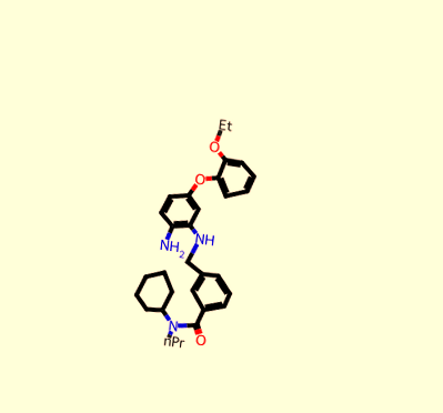 CCCN(C(=O)c1cccc(CNc2cc(Oc3ccccc3OCC)ccc2N)c1)C1CCCCC1